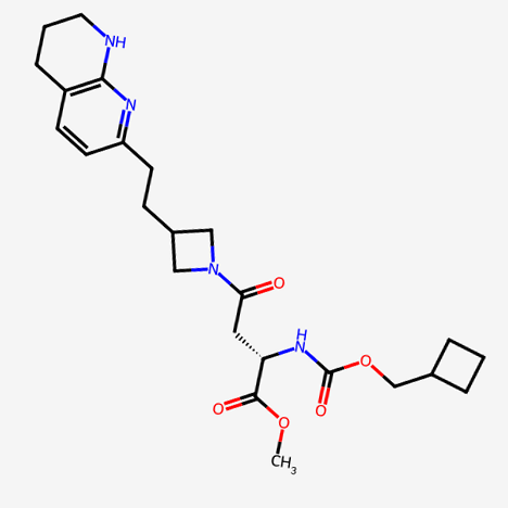 COC(=O)[C@H](CC(=O)N1CC(CCc2ccc3c(n2)NCCC3)C1)NC(=O)OCC1CCC1